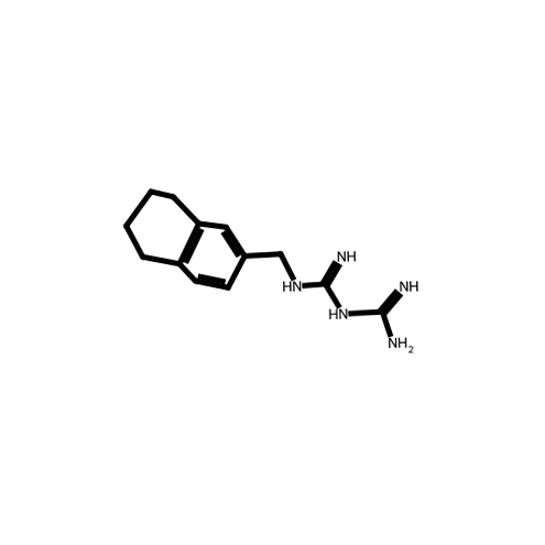 N=C(N)NC(=N)NCc1ccc2c(c1)CCCC2